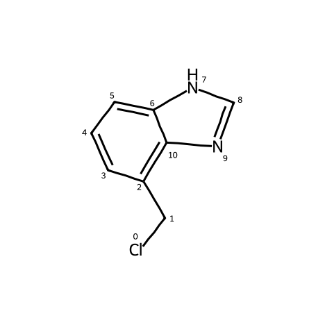 ClCc1cccc2[nH]cnc12